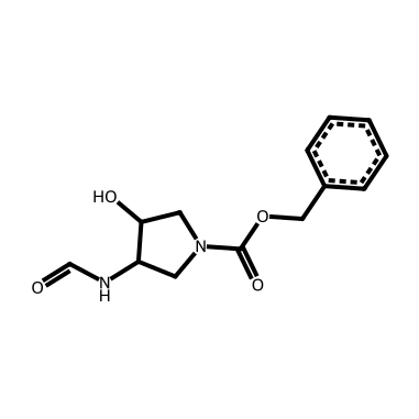 O=CNC1CN(C(=O)OCc2ccccc2)CC1O